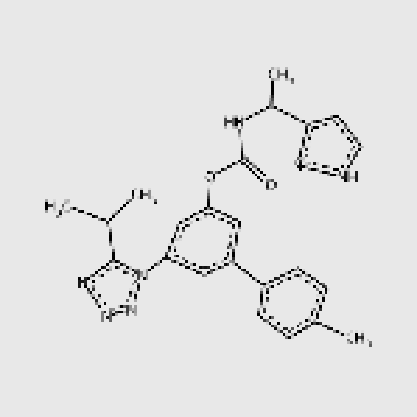 Cc1ccc(-c2cc(OC(=O)NC(C)c3cc[nH]n3)cc(-n3nnnc3C(C)C)c2)cc1